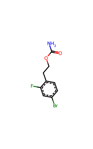 NC(=O)OCCc1ccc(Br)cc1F